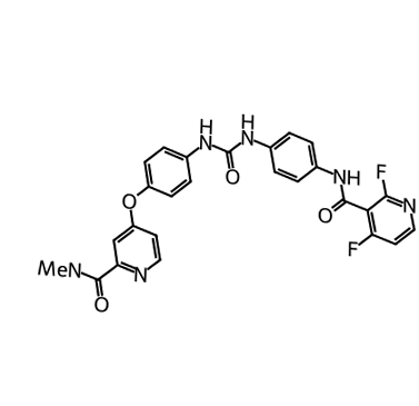 CNC(=O)c1cc(Oc2ccc(NC(=O)Nc3ccc(NC(=O)c4c(F)ccnc4F)cc3)cc2)ccn1